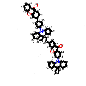 CCC1(CC)c2ccccc2N(c2ccc3c(=O)c4ccc(CCC5(CC)c6ccccc6N(c6ccc(-c7ccc8c(=O)c9ccccc9oc8c7)cc6)c6ccccc65)cc4oc3c2)c2ccccc21